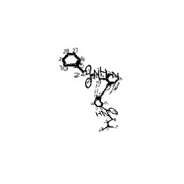 CC(C)CCNC(=O)c1cccc(-c2ccncc2CNC(=O)OCc2ccccc2)c1